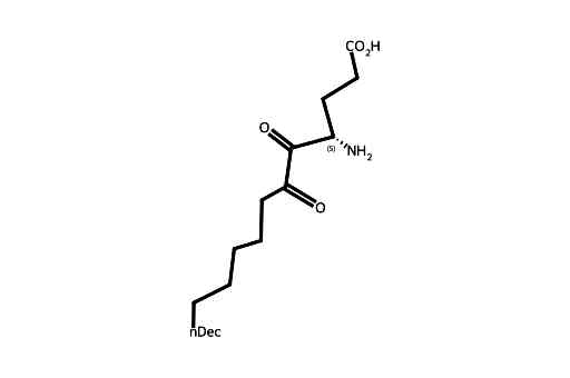 CCCCCCCCCCCCCCCC(=O)C(=O)[C@@H](N)CCC(=O)O